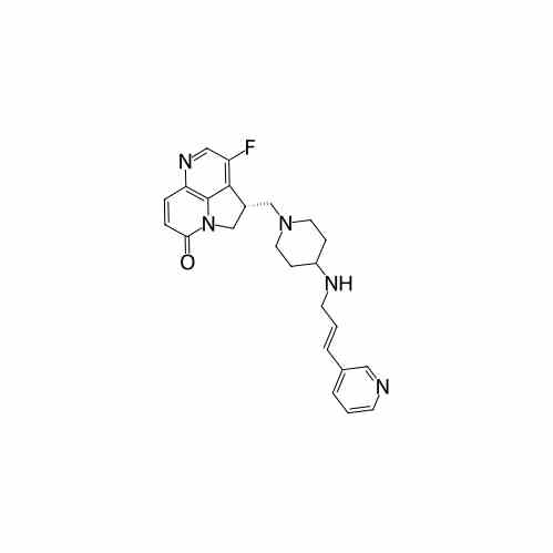 O=c1ccc2ncc(F)c3c2n1C[C@H]3CN1CCC(NC/C=C/c2cccnc2)CC1